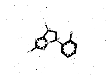 F[C@H]1C[C@@H](c2ccccc2Cl)n2nc(S)nc21